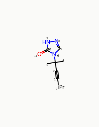 CC(C)C#CC(C)(C)n1cn[nH]c1=O